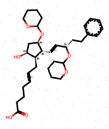 O=C(O)CCC/C=C/C[C@@H]1[C@@H](/C=C/[C@H](CCc2ccccc2)OC2CCCCO2)[C@H](OC2CCCCO2)C[C@@H]1O